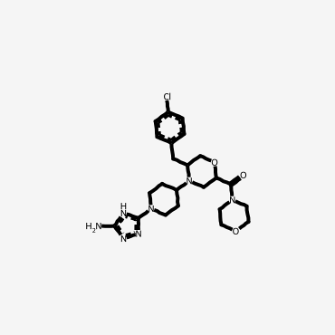 Nc1nnc(N2CCC(N3CC(C(=O)N4CCOCC4)OCC3Cc3ccc(Cl)cc3)CC2)[nH]1